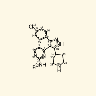 CC(C)Nc1nccc(-c2c(-c3ccc(Cl)cc3)n[nH]c2C2CCNCC2)n1